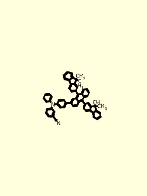 CC1(C)c2ccccc2-c2ccc(-c3c4ccccc4c(-c4ccc5c(c4)C(C)(C)c4ccccc4-5)c4cc(-c5ccc(N(c6ccccc6)c6cccc(C#N)c6)cc5)ccc34)cc21